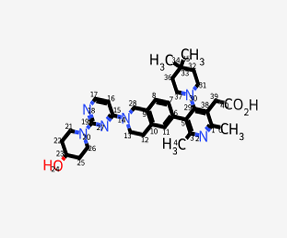 Cc1nc(C)c(-c2ccc3c(c2)CCN(c2ccnc(N4CCC(O)CC4)n2)C3)c(N2CCC(C)(C)CC2)c1CC(=O)O